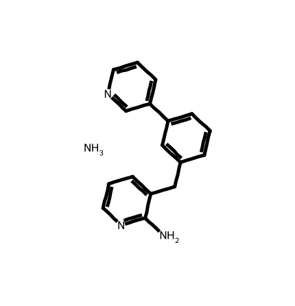 N.Nc1ncccc1Cc1cccc(-c2cccnc2)c1